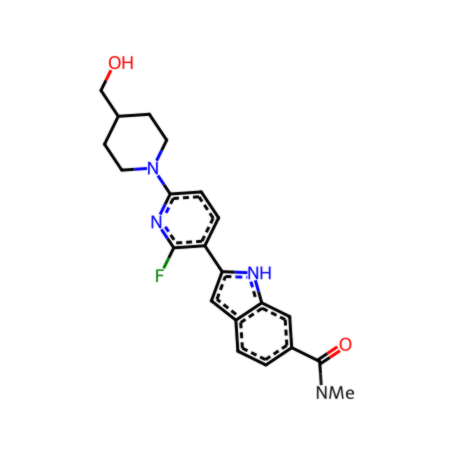 CNC(=O)c1ccc2cc(-c3ccc(N4CCC(CO)CC4)nc3F)[nH]c2c1